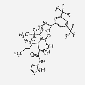 CCCC[C@@H]([C@@H](O)C(=O)Nc1ccn[nH]1)N(C(=O)O)[C@@H](c1nnc(-c2cc(C(F)(F)F)cc(C(F)(F)F)c2)o1)C(C)(C)C